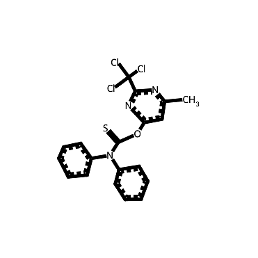 Cc1cc(OC(=S)N(c2ccccc2)c2ccccc2)nc(C(Cl)(Cl)Cl)n1